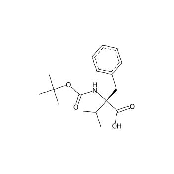 CC(C)[C@](Cc1ccccc1)(NC(=O)OC(C)(C)C)C(=O)O